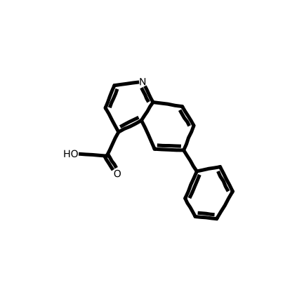 O=C(O)c1ccnc2ccc(-c3ccccc3)cc12